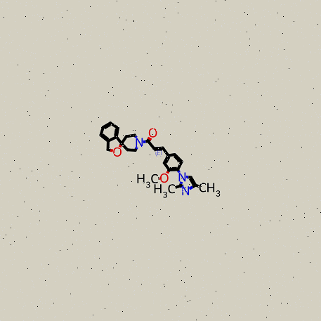 COc1cc(/C=C/C(=O)N2CCC3(CC2)OCc2ccccc23)ccc1-n1cc(C)nc1C